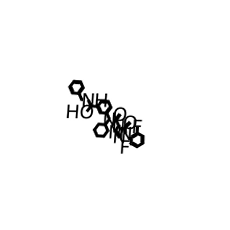 O=C(N(c1cccc(C(O)NCc2ccccc2)c1)C1CCCCC1)n1nnn(-c2c(F)cccc2F)c1=O